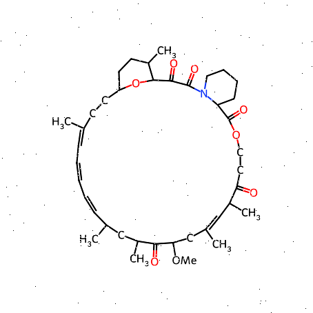 COC1CC(C)=CC(C)C(=O)CCOC(=O)C2CCCCN2C(=O)C(=O)C2OC(CCC(C)=CC=CC=CC(C)CC(C)C1=O)CCC2C